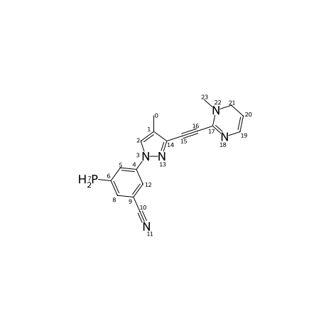 Cc1cn(-c2cc(P)cc(C#N)c2)nc1C#CC1=NC=CCN1C